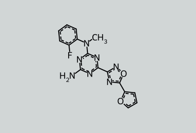 CN(c1nc(N)nc(-c2noc(-c3ccco3)n2)n1)c1ccccc1F